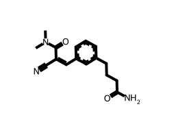 CN(C)C(=O)C(C#N)=Cc1cccc(CCCC(N)=O)c1